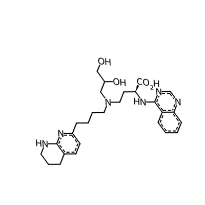 O=C(O)[C@H](CCN(CCCCc1ccc2c(n1)NCCC2)CC(O)CO)Nc1ncnc2ccccc12